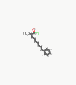 CC(CCCCCCCc1ccccc1)C(=O)Cl